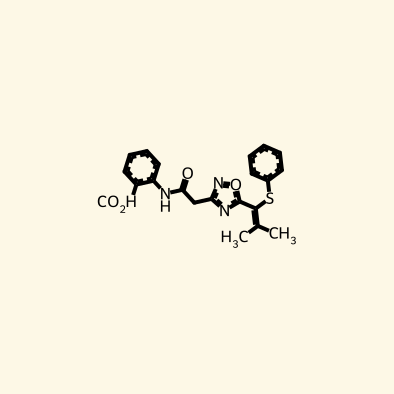 CC(C)=C(Sc1ccccc1)c1nc(CC(=O)Nc2ccccc2C(=O)O)no1